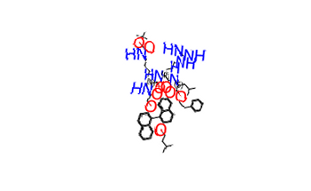 CNC(=N)NCCC[C@@H](NC(=O)[C@@H](CCCCNC(=O)OC(C)(C)C)NC(=O)COc1ccc2ccccc2c1-c1c(OCCC(C)C)ccc2ccccc12)C(=O)N[C@@H](CC(C)C)C(=O)OCCc1ccccc1